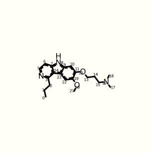 CCCc1nccc2[nH]c3cc(OCCCN(C)C)c(OC)cc3c12